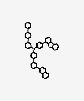 c1ccc(-c2ccc(-c3cccc(N(c4ccc(-c5cccc(-c6ccc7ccccc7c6)c5)cc4)c4ccc(-c5cccc6c5sc5ccccc56)cc4)c3)cc2)cc1